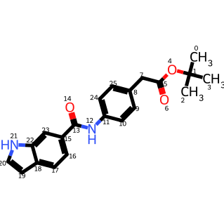 CC(C)(C)OC(=O)Cc1ccc(NC(=O)c2ccc3cc[nH]c3c2)cc1